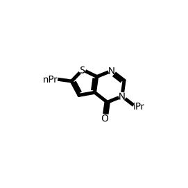 CCCc1cc2c(=O)n(C(C)C)cnc2s1